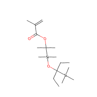 C=C(C)C(=O)OC(C)(C)[Si](C)(C)OC(CC)(CC)[Si](C)(C)C